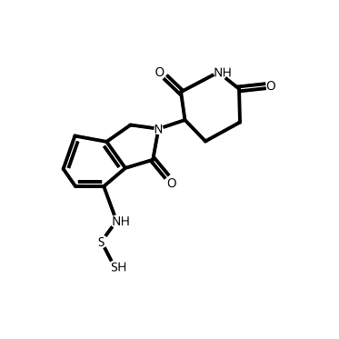 O=C1CCC(N2Cc3cccc(NSS)c3C2=O)C(=O)N1